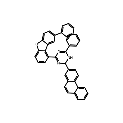 c1ccc(C2=NC(c3cccc4oc5ccc(-c6ccccc6)cc5c34)=NC(c3ccc4c(ccc5ccccc54)c3)N2)cc1